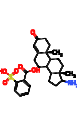 C[C@]12CCC(=O)C=C1CCC1C2CC[C@@]2(C)C1CC[C@@H]2N.O=C(O)c1ccccc1S(=O)(=O)O